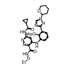 CCONC(=O)c1nnc(NC(=O)C2CC2)cc1Nc1cccc(-c2ncn(C3CCCCO3)n2)c1OC